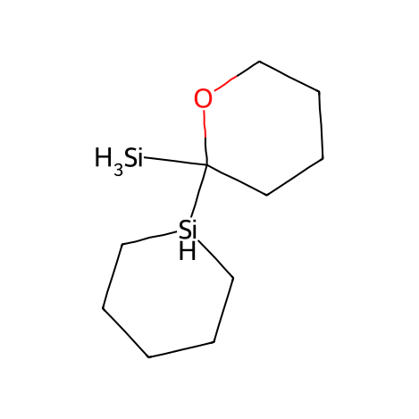 [SiH3]C1([SiH]2CCCCC2)CCCCO1